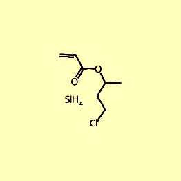 C=CC(=O)OC(C)CCCl.[SiH4]